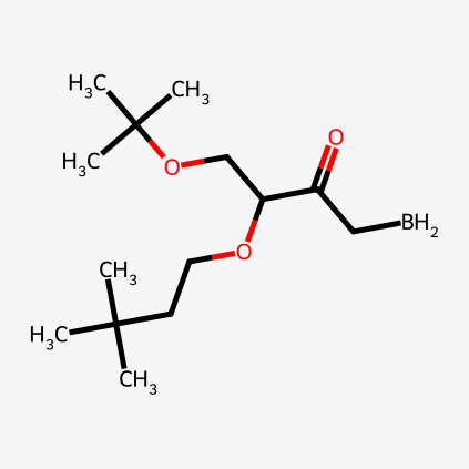 BCC(=O)C(COC(C)(C)C)OCCC(C)(C)C